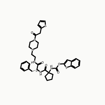 O=C(NC1(C(=O)N[C@H](Cc2ccccc2)C(=O)NCCN2CCN(C(=O)Cc3cccs3)CC2)CCCC1)Oc1cc2ccccc2s1